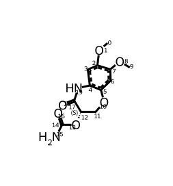 COc1cc2c(cc1OC)OC[C@H](OC(N)=O)C(=O)N2